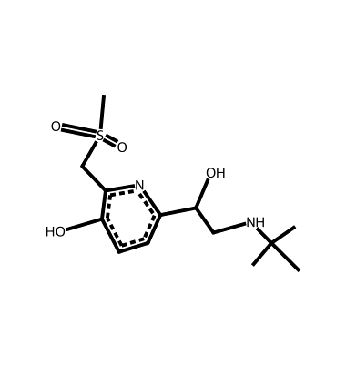 CC(C)(C)NCC(O)c1ccc(O)c(CS(C)(=O)=O)n1